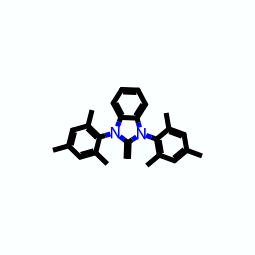 C=C1N(c2c(C)cc(C)cc2C)c2ccccc2N1c1c(C)cc(C)cc1C